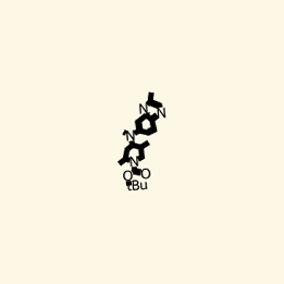 Cc1cnc2ccc(N(C)C3CC(C)N(C(=O)OC(C)(C)C)CC3C)cc2n1